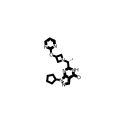 C[C@H](c1nc2c(cnn2C2CCCC2)c(=O)[nH]1)N1CC(Oc2ncccn2)C1